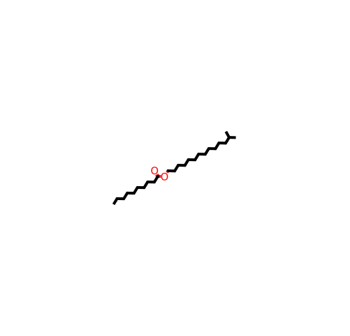 CCCCCCCCCC(=O)OCCCCCCCCCCCCC(C)C